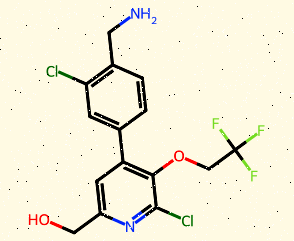 NCc1ccc(-c2cc(CO)nc(Cl)c2OCC(F)(F)F)cc1Cl